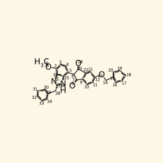 COc1ccc(C2C(=O)c3ccc(OCc4ccccc4)cc3C2=O)c2[nH]c(Cc3ccccc3)nc12